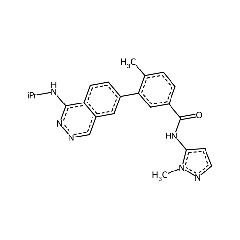 Cc1ccc(C(=O)Nc2ccnn2C)cc1-c1ccc2c(NC(C)C)nncc2c1